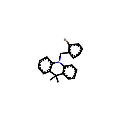 CC1(C)c2ccccc2N(Cc2ccccc2Br)c2ccccc21